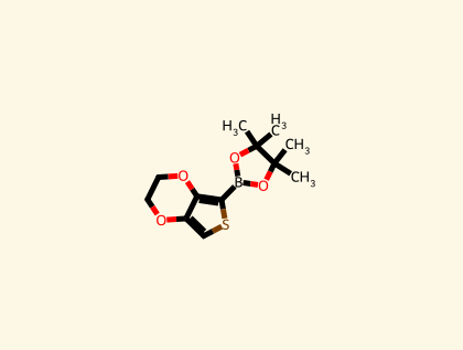 CC1(C)OB(c2scc3c2OCCO3)OC1(C)C